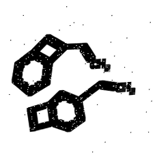 C=CC1=Cc2ccccc21.C=Cc1ccc2c(c1)C=C2